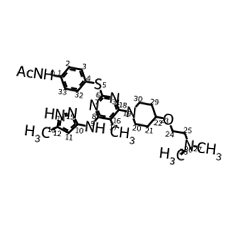 CC(=O)Nc1ccc(Sc2nc(Nc3cc(C)[nH]n3)c(C)c(N3CCC(OCCN(C)C)CC3)n2)cc1